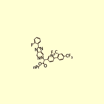 CCCOC(=O)C(c1ccc(-c2ccc(C(F)(F)F)cc2C(F)(F)F)nc1)n1cc2nc(-c3ccccc3F)nc-2cn1